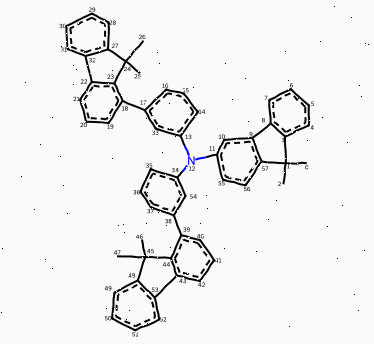 CC1(C)c2ccccc2-c2cc(N(c3cccc(-c4cccc5c4C(C)(C)c4ccccc4-5)c3)c3cccc(-c4cccc5c4C(C)(C)c4ccccc4-5)c3)ccc21